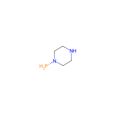 PN1CCNCC1